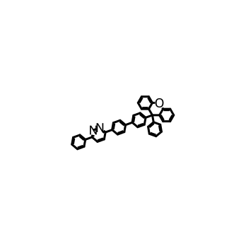 c1ccc(-c2ccc(-c3ccc(-c4ccc(C5(c6ccccc6)c6ccccc6Oc6ccccc65)cc4)cc3)nn2)cc1